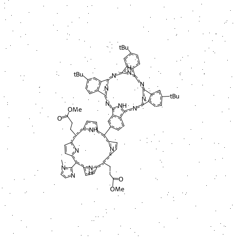 COC(=O)CCc1c2nc(c(-c3nccn3C)c3ccc([nH]3)c(CCC(=O)OC)c3nc(c(-c4ccc5c6nc7nc(nc8[nH]c(nc9nc(nc([nH]6)c5c4)-c4ccc(C(C)(C)C)cc4-9)c4cc(C(C)(C)C)ccc84)-c4cc(C(C)(C)C)ccc4-7)c4ccc1[nH]4)C=C3)C=C2